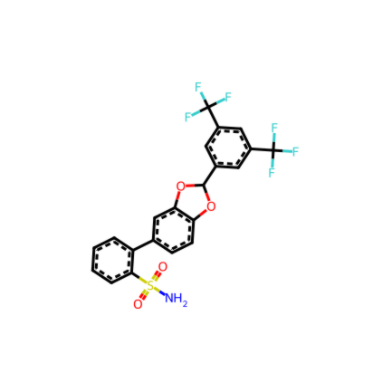 NS(=O)(=O)c1ccccc1-c1ccc2c(c1)OC(c1cc(C(F)(F)F)cc(C(F)(F)F)c1)O2